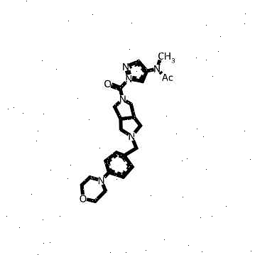 CC(=O)N(C)c1cnn(C(=O)N2CC3CN(Cc4ccc(N5CCOCC5)cc4)CC3C2)c1